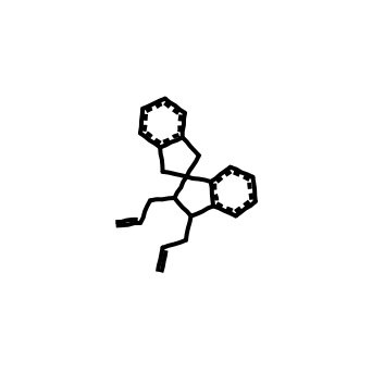 C=CCC1c2ccccc2C2(Cc3ccccc3C2)C1CC=C